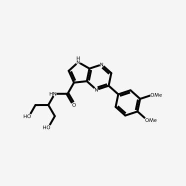 COc1ccc(-c2cnc3[nH]cc(C(=O)NC(CO)CO)c3n2)cc1OC